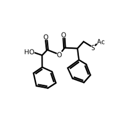 CC(=O)SCC(C(=O)OC(=O)C(O)c1ccccc1)c1ccccc1